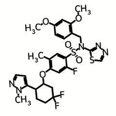 COc1ccc(CN(c2nncs2)S(=O)(=O)c2cc(C)c(OC3CC(F)(F)CCC3c3ccnn3C)cc2F)c(OC)c1